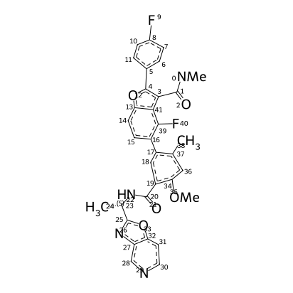 CNC(=O)c1c(-c2ccc(F)cc2)oc2ccc(-c3cc(C(=O)N[C@@H](C)c4nc5cnccc5o4)c(OC)cc3C)c(F)c12